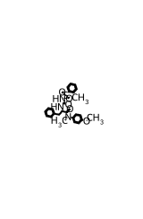 COc1ccc(N(C)C(=O)C(Cc2ccccc2)NC(=O)NS(=O)(=O)c2ccccc2C)cc1